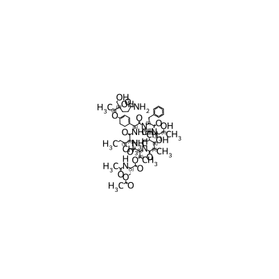 CC[C@H](C)[C@@H](NC(=O)[C@@H](NC(=O)[C@H](C)[C@H](O)C(C)C)[C@@H](C)OC(=O)[C@H](COC(C)=O)NC(C)=O)C(=O)N[C@H](C(=O)N(C)[C@@H](Cc1ccccc1)C(=O)NC[C@@H](C)O)C1=CC=C(O[C@H](C)[C@@](O)(CO)CCC(N)=O)CC1